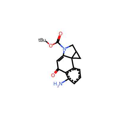 CC(C)(C)OC(=O)N1CC2CC23C1=CC(=O)c1c(N)cccc13